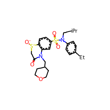 CCc1ccc(N(CC(C)C)S(=O)(=O)c2ccc3c(c2)N(CC2CCOCC2)C(=O)C[S+]3[O-])cc1